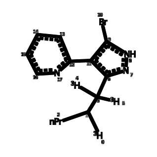 [3H]C(CCC)C([3H])([3H])c1n[nH]c(Br)c1-c1ccccn1